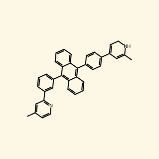 CC1=CC(c2ccc(-c3c4ccccc4c(-c4cccc(-c5cc(C)ccn5)c4)c4ccccc34)cc2)=CCN1